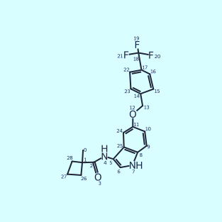 CC1(C(=O)Nc2c[nH]c3ccc(OCc4ccc(C(F)(F)F)cc4)cc23)CCC1